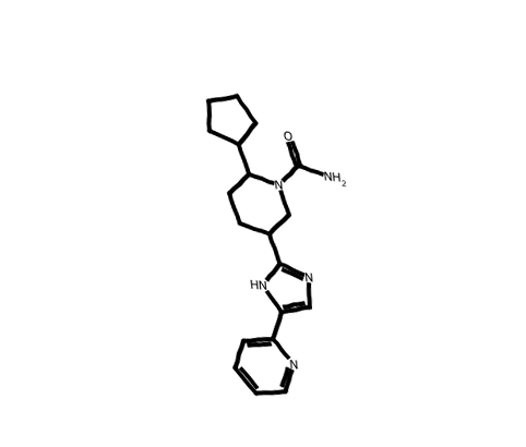 NC(=O)N1CC(c2ncc(-c3ccccn3)[nH]2)CCC1C1CCCC1